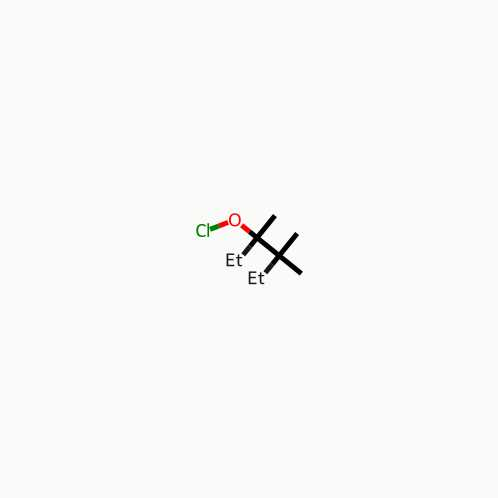 CCC(C)(C)C(C)(CC)OCl